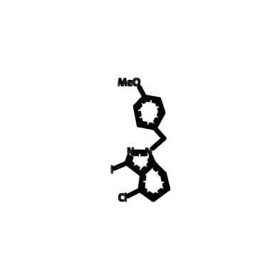 COc1ccc(Cn2nc(I)c3c(Cl)cccc32)cc1